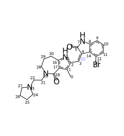 Cc1c(/C=C2\C(=O)Nc3cccc(Br)c32)[nH]c2c1C(=O)N(CCN1CCCC1)CCC2